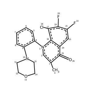 Cc1cn(-c2ccccc2N2CCOCC2)c2c(Cl)c(F)c(F)cc2c1=O